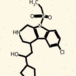 CCS(=O)(=O)n1c2c(c3cc(Cl)ccc31)C(CC(O)C1CCCC1)CNC2